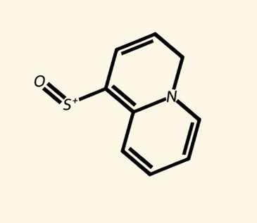 O=[S+]C1=C2C=CC=CN2CC=C1